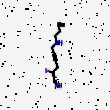 CCC(C)CCNCC#CCC(I)=C=N